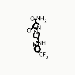 NC(=O)c1cnc(N2CCN(c3nc4ccc(C(F)(F)F)cc4[nH]3)CC2)c(Cl)c1